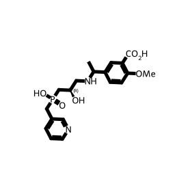 COc1ccc(C(C)NC[C@@H](O)CP(=O)(O)Cc2cccnc2)cc1C(=O)O